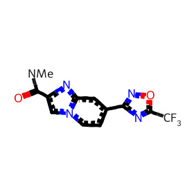 CNC(=O)c1cn2ccc(-c3noc(C(F)(F)F)n3)cc2n1